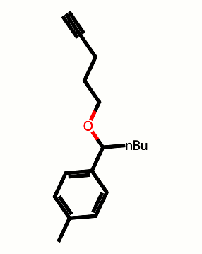 C#CCCCOC(CCCC)c1ccc(C)cc1